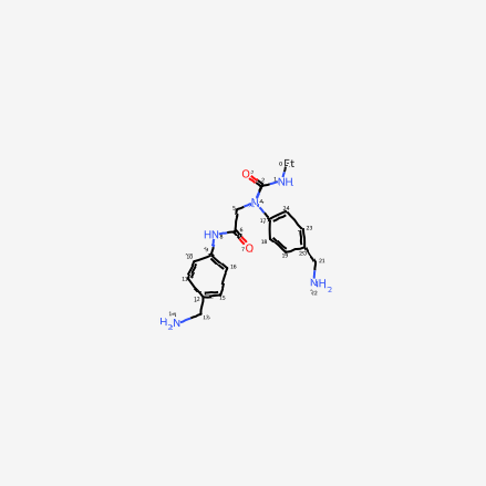 CCNC(=O)N(CC(=O)Nc1ccc(CN)cc1)c1ccc(CN)cc1